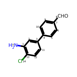 Nc1cc(-c2ccc(C=O)cc2)ccc1Cl